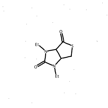 CCN1C(=O)N(CC)C2C(=O)SCC21